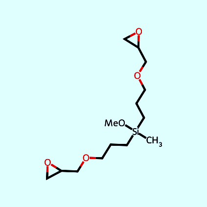 CO[Si](C)(CCCOCC1CO1)CCCOCC1CO1